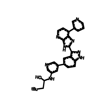 CC(C)(C)CC(O)Nc1cncc(-c2ccc3[nH]nc(-c4nc5c(-c6cccnc6)ccnc5[nH]4)c3c2)c1